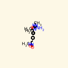 Cc1nc(N)c2c(n1)OC(C)(C)C(c1ccc([C@H]3CC[C@H](CCc4nc(=O)on4C)CC3)cc1)=N2